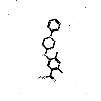 COC(=O)c1cc(NC2CCN(c3ccccc3)CC2)c(C)cc1C